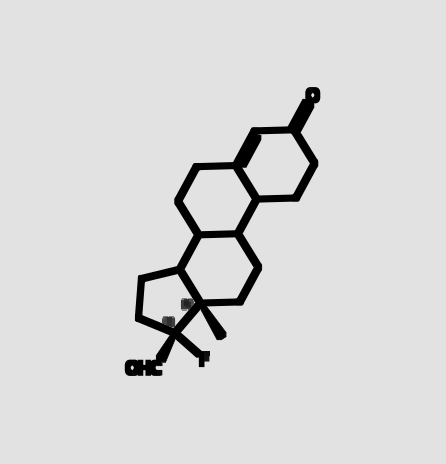 C[C@]12CCC3C4CCC(=O)C=C4CCC3C1CC[C@]2(F)C=O